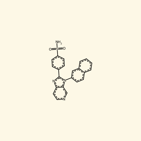 NS(=O)(=O)c1ccc(-c2nc3ccncc3n2-c2ccc3ccccc3c2)cc1